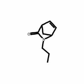 CCCN1C(=O)C2C=CC1C2